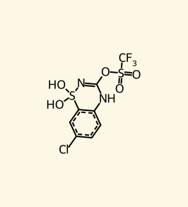 O=S(=O)(OC1=NS(O)(O)c2cc(Cl)ccc2N1)C(F)(F)F